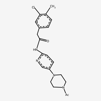 CC(=O)N1CCN(c2ccc(NC(=O)Cc3ccc(C)c(Cl)c3)nc2)CC1